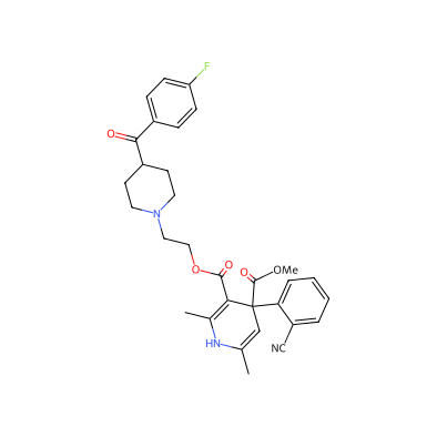 COC(=O)C1(c2ccccc2C#N)C=C(C)NC(C)=C1C(=O)OCCN1CCC(C(=O)c2ccc(F)cc2)CC1